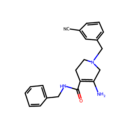 N#Cc1cccc(CN2CCC(C(=O)NCc3ccccc3)=C(N)C2)c1